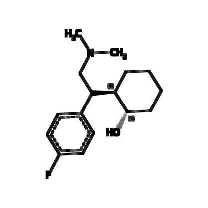 CN(C)CC(c1ccc(F)cc1)[C@H]1CCCC[C@@H]1O